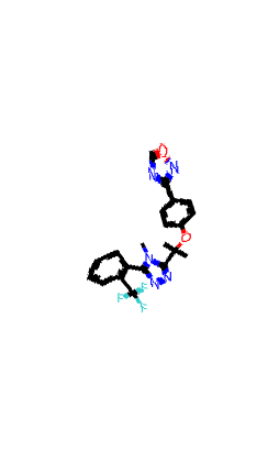 Cn1c(-c2ccccc2C(F)(F)F)nnc1C(C)(C)Oc1ccc(-c2ncon2)cc1